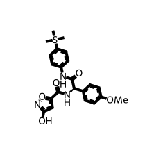 COc1ccc([C@@H](NC(=O)c2cc(O)no2)C(=O)Nc2ccc(S(C)(C)C)cc2)cc1